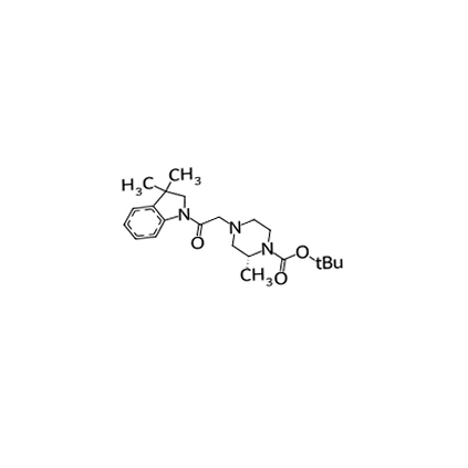 C[C@@H]1CN(CC(=O)N2CC(C)(C)c3ccccc32)CCN1C(=O)OC(C)(C)C